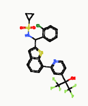 O=S(=O)(NC(c1cc2cccc(-c3cc(C(O)(C(F)(F)F)C(F)(F)F)ccn3)c2s1)c1ccccc1Cl)C1CC1